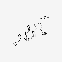 O=C(Nc1cnn([C@@H]2O[C@H](CO)C[C@H]2O)c(=O)n1)C1CC1